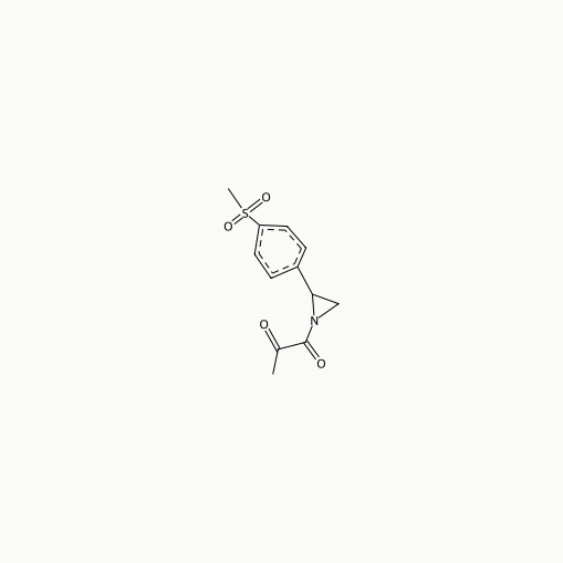 CC(=O)C(=O)N1CC1c1ccc(S(C)(=O)=O)cc1